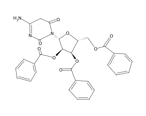 NC1=NC(=O)N([C@@H]2O[C@H](COC(=O)c3ccccc3)[C@@H](OC(=O)c3ccccc3)[C@H]2OC(=O)c2ccccc2)C(=O)C1